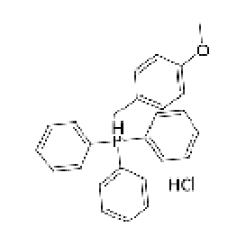 COc1ccc(C[PH](c2ccccc2)(c2ccccc2)c2ccccc2)cc1.Cl